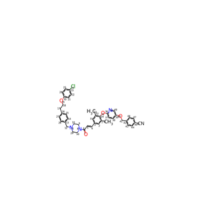 Cc1cc(/C=C/C(=O)N2CCN(Cc3ccc(CCOc4ccc(Cl)cc4)cc3)CC2)cc(C)c1Oc1ccc(OCc2ccc(C#N)cc2)cn1